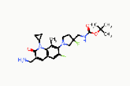 Cc1c(N2CCC(F)(CNC(=O)OC(C)(C)C)C2)c(F)cc2cc(CN)c(=O)n(C3CC3)c12